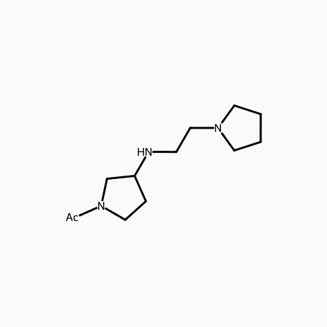 CC(=O)N1CCC(NCCN2CCCC2)C1